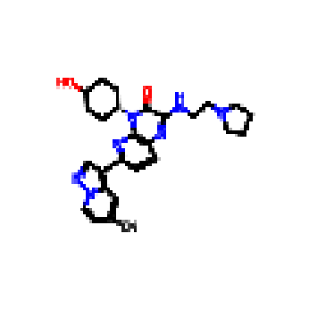 N#Cc1ccn2ncc(-c3ccc4nc(NCCN5CCCC5)c(=O)n([C@H]5CC[C@H](O)CC5)c4n3)c2c1